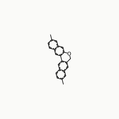 Cc1ccc2cc3c(cc2c1)COc1cc2cc(C)ccc2cc1-3